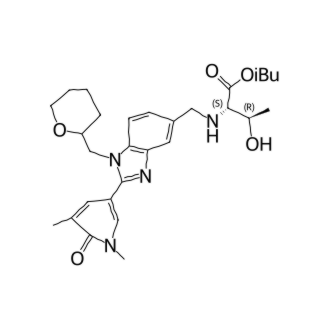 Cc1cc(-c2nc3cc(CN[C@H](C(=O)OCC(C)C)[C@@H](C)O)ccc3n2CC2CCCCO2)cn(C)c1=O